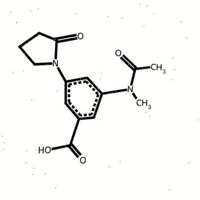 CC(=O)N(C)c1cc(C(=O)O)cc(N2CCCC2=O)c1